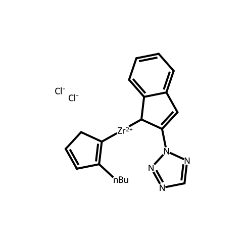 CCCCC1=[C]([Zr+2][CH]2C(n3ncnn3)=Cc3ccccc32)CC=C1.[Cl-].[Cl-]